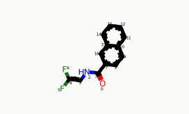 O=C(NC=C(F)F)c1ccc2ccccc2c1